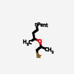 CCCCCCCC(C)OC(C)CBr